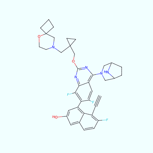 C#Cc1c(F)ccc2cc(O)cc(-c3c(F)cc4c(N5CC6CCC(C5)N6)nc(OCC5(CN6CCOC7(CCC7)C6)CC5)nc4c3F)c12